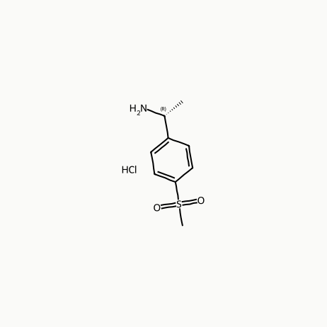 C[C@@H](N)c1ccc(S(C)(=O)=O)cc1.Cl